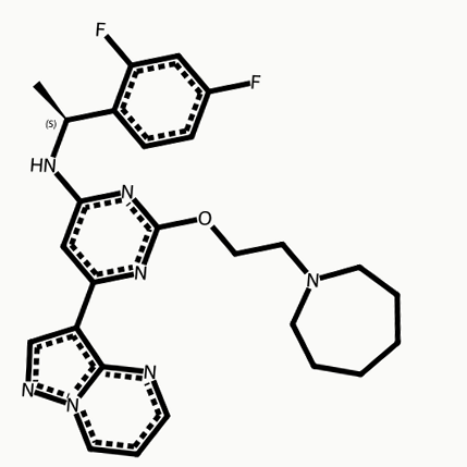 C[C@H](Nc1cc(-c2cnn3cccnc23)nc(OCCN2CCCCCC2)n1)c1ccc(F)cc1F